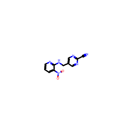 N#Cc1ncc(CNc2ncccc2[N+](=O)[O-])cn1